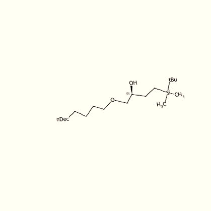 CCCCCCCCCCCCCCOC[C@@H](O)CC[Si](C)(C)C(C)(C)C